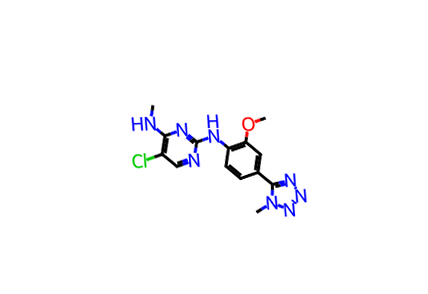 CNc1nc(Nc2ccc(-c3nnnn3C)cc2OC)ncc1Cl